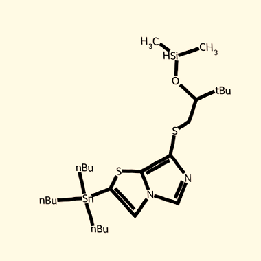 CCC[CH2][Sn]([CH2]CCC)([CH2]CCC)[c]1cn2cnc(SCC(O[SiH](C)C)C(C)(C)C)c2s1